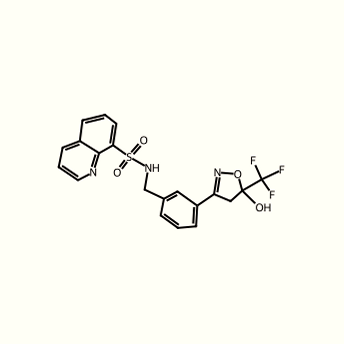 O=S(=O)(NCc1cccc(C2=NOC(O)(C(F)(F)F)C2)c1)c1cccc2cccnc12